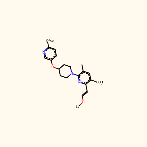 CCO/C=C/c1nc(N2CCC(Oc3ccc(OC)nc3)CC2)c(C)cc1C(=O)O